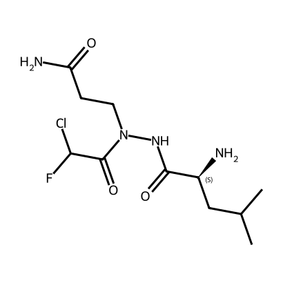 CC(C)C[C@H](N)C(=O)NN(CCC(N)=O)C(=O)C(F)Cl